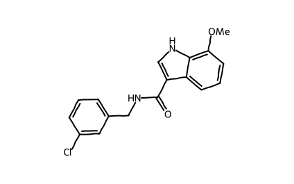 COc1cccc2c(C(=O)NCc3cccc(Cl)c3)c[nH]c12